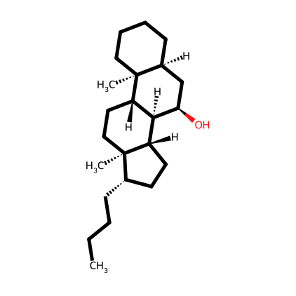 CCCC[C@H]1CC[C@H]2[C@@H]3[C@H](O)C[C@@H]4CCCC[C@]4(C)[C@H]3CC[C@]12C